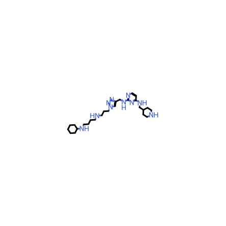 c1cc(NCC2CCNCC2)nc(NCc2cn(CCCNCCCCNC3CCCCC3)nn2)n1